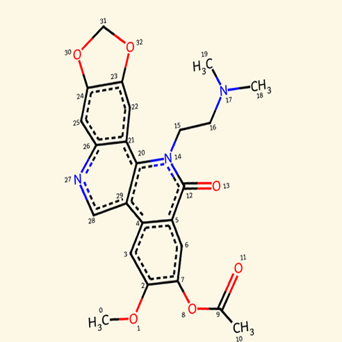 COc1cc2c(cc1OC(C)=O)c(=O)n(CCN(C)C)c1c3cc4c(cc3ncc21)OCO4